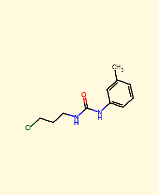 Cc1cccc(NC(=O)NCCCCl)c1